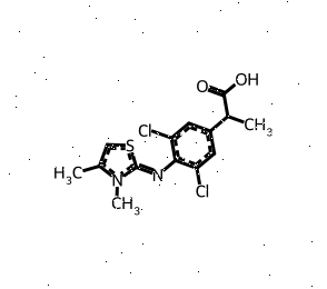 Cc1csc(=Nc2c(Cl)cc(C(C)C(=O)O)cc2Cl)n1C